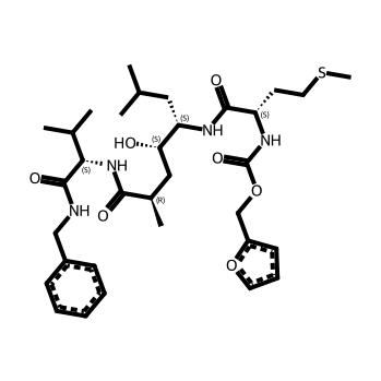 CSCC[C@H](NC(=O)OCc1ccco1)C(=O)N[C@@H](CC(C)C)[C@@H](O)C[C@@H](C)C(=O)N[C@H](C(=O)NCc1ccccc1)C(C)C